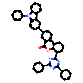 O=c1oc2c(-c3nc(-c4ccccc4)nc(-c4ccccc4)n3)cccc2c2ccc(-c3ccc4c(c3)c3ccccc3n4-c3ccccc3)cc12